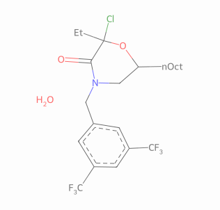 CCCCCCCCC1CN(Cc2cc(C(F)(F)F)cc(C(F)(F)F)c2)C(=O)C(Cl)(CC)O1.O